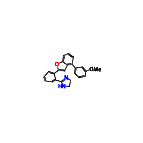 COc1cccc(-c2cccc3oc(-c4ccccc4C4=NCCN4)cc23)c1